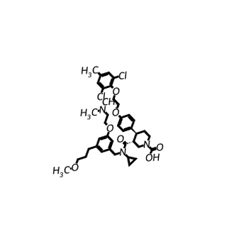 COCCCc1cc(CN(C(=O)[C@H]2CN(C(=O)O)CC[C@@H]2c2ccc(OCCOc3c(Cl)cc(C)cc3Cl)cc2)C2CC2)cc(OCCN(C)C)c1